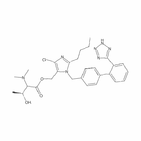 CCCCc1nc(Cl)c(COC(=O)C([C@H](C)O)N(C)C)n1Cc1ccc(-c2ccccc2-c2nn[nH]n2)cc1